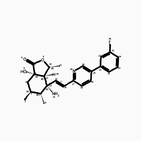 C[C@@H]1[C@@H](C)C[C@@]2(O)C(=O)O[C@H](C)[C@H]2[C@@]1(N)/C=C/c1ccc(-c2cccc(F)c2)cn1